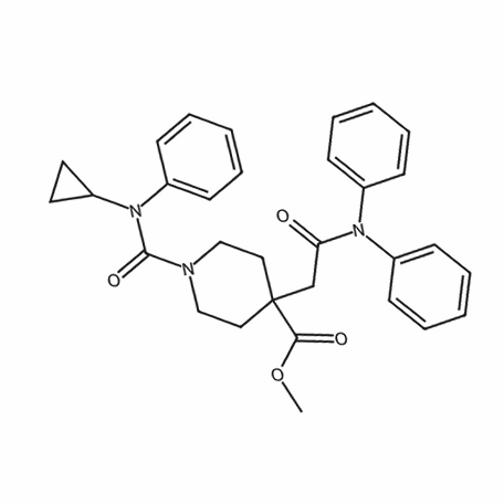 COC(=O)C1(CC(=O)N(c2ccccc2)c2ccccc2)CCN(C(=O)N(c2ccccc2)C2CC2)CC1